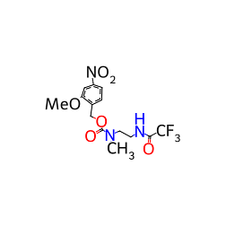 COc1cc([N+](=O)[O-])ccc1COC(=O)N(C)CCNC(=O)C(F)(F)F